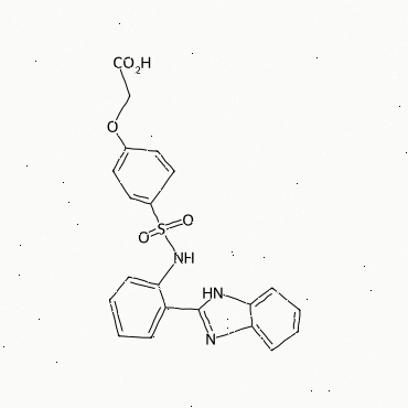 O=C(O)COc1ccc(S(=O)(=O)Nc2ccccc2-c2nc3ccccc3[nH]2)cc1